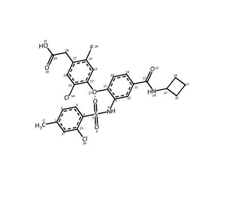 Cc1ccc(S(=O)(=O)Nc2cc(C(=O)NC3CCC3)ccc2Oc2cc(F)c(CC(=O)O)cc2Cl)c(Cl)c1